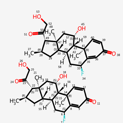 C[C@@H]1C[C@H]2[C@@H]3C[C@H](F)C4=CC(=O)C=C[C@]4(C)[C@H]3[C@@H](O)C[C@]2(C)[C@H]1C(=O)CO.C[C@@H]1C[C@H]2[C@@H]3C[C@H](F)C4=CC(=O)C=C[C@]4(C)[C@H]3[C@@H](O)C[C@]2(C)[C@H]1C(=O)CO